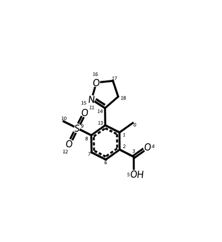 Cc1c(C(=O)O)ccc(S(C)(=O)=O)c1C1=NOCC1